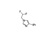 CC(C)c1cn(CC(F)F)cn1